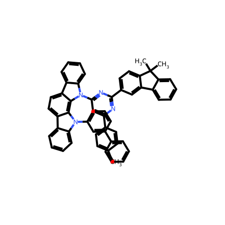 Cc1ccc(-c2cc(-n3c4ccccc4c4ccc5c6ccccc6n(-c6cccc(-c7ccccc7)c6)c5c43)nc(-c3ccc4c(c3)-c3ccccc3C4(C)C)n2)cc1